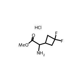 COC(=O)C(N)C1CC(F)(F)C1.Cl